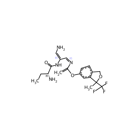 C=C(/N=C\C(=C/N)NC(=O)[C@H](N)CC)Oc1ccc2c(c1)C(C)(C(F)(F)F)OC2